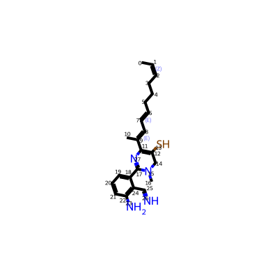 C/C=C\CCC/C=C/C=C(\C)C1=C(S)CN(C)C(c2cccc(N)c2C=N)=N1